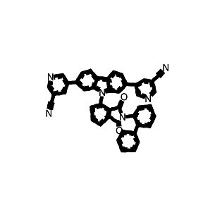 N#Cc1cncc(-c2ccc3c4ccc(-c5cncc(C#N)c5)cc4n(-c4cccc5c4C(=O)N(c4ccccc4-c4ccccc4)C5=O)c3c2)c1